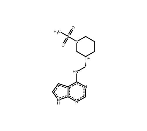 CS(=O)(=O)N1CCC[C@H](CNc2ncnc3[nH]ccc23)C1